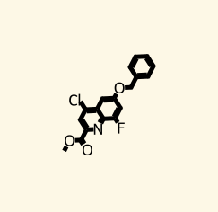 COC(=O)c1cc(Cl)c2cc(OCc3ccccc3)cc(F)c2n1